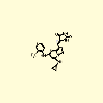 O=C1NC(=O)/C(=C/c2cnn3c(NC4CC4)cc(Nc4ccncc4C(F)(F)F)nc23)N1